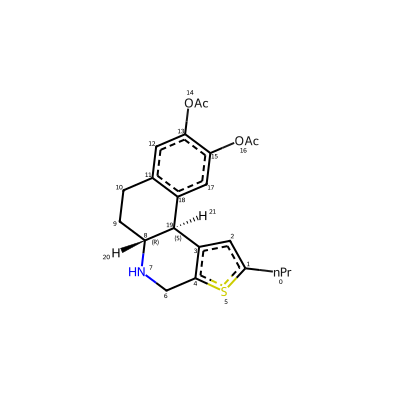 CCCc1cc2c(s1)CN[C@@H]1CCc3cc(OC(C)=O)c(OC(C)=O)cc3[C@@H]21